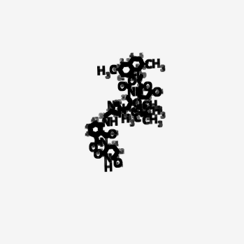 C[C@H]1C=C2C=C[C@H](C)[C@H](CC[C@@H]3C[C@@H](O[Si](C)(C)C(C)(C)C)CC(=O)O3)[C@H]2[C@@H](OC(=O)NCCCn2cnc(CNc3cccc4c3C(=O)N(C3CCC(=O)NC3=O)C4=O)c2)C1